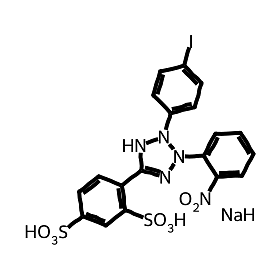 O=[N+]([O-])c1ccccc1N1N=C(c2ccc(S(=O)(=O)O)cc2S(=O)(=O)O)NN1c1ccc(I)cc1.[NaH]